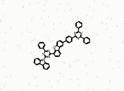 c1ccc(-c2nc(-c3ccccc3)nc(-c3ccc(-c4ccc5oc6c(-c7nc(-c8ccccc8)nc(-n8c9ccccc9c9ccccc98)n7)cccc6c5c4)cc3)n2)cc1